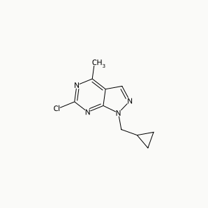 Cc1nc(Cl)nc2c1cnn2CC1CC1